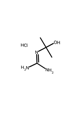 CC(C)(O)N=C(N)N.Cl